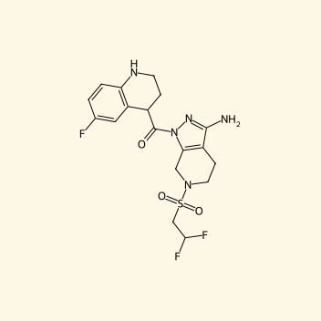 Nc1nn(C(=O)C2CCNc3ccc(F)cc32)c2c1CCN(S(=O)(=O)CC(F)F)C2